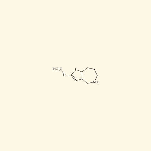 O=C(O)Oc1cc2c(s1)CCCNC2